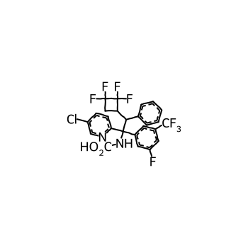 O=C(O)NC(c1cc(F)cc(C(F)(F)F)c1)(c1ccc(Cl)cn1)C(c1ccccc1)C1CC(F)(F)C1(F)F